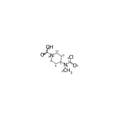 CN(C(=O)Cl)C1CCN(C(=O)O)CC1